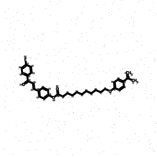 C=C(C)c1ccc(OCCCCCCCCCCC(=O)Oc2ccc(C=CC(=O)c3ccc(F)cc3)cc2)cc1